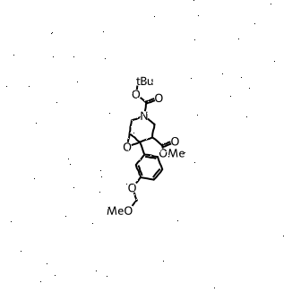 COCOc1cccc(C23OC2CN(C(=O)OC(C)(C)C)CC3C(=O)OC)c1